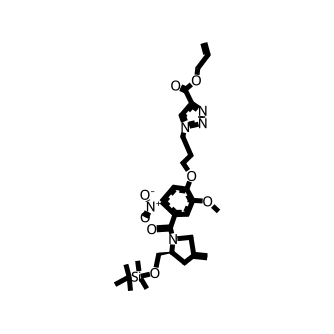 C=CCOC(=O)c1cn(CCCOc2cc([N+](=O)[O-])c(C(=O)N3CC(=C)C[C@H]3CO[Si](C)(C)C(C)(C)C)cc2OC)nn1